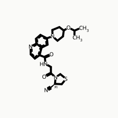 CC(C)OC1CCN(c2ccc3nccc(C(=O)NCC(=O)N4CSC[C@H]4C#N)c3c2)CC1